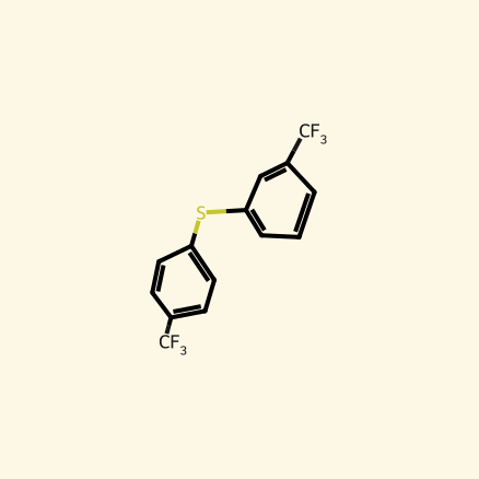 FC(F)(F)c1ccc(Sc2cccc(C(F)(F)F)c2)cc1